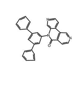 O=c1c2ccncc2c2ccncc2n1-c1cc(-c2ccccc2)cc(-c2ccccc2)c1